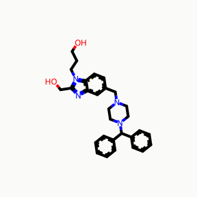 OCCCn1c(CO)nc2cc(CN3CCN(C(c4ccccc4)c4ccccc4)CC3)ccc21